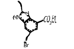 CCOC(=O)c1cc(Br)cc2[nH]c(C)nc12